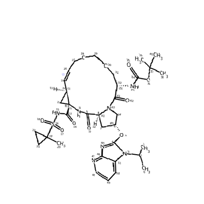 CC(C)n1c(O[C@@H]2C[C@H]3C(=O)N[C@]4(C(=O)NS(=O)(=O)C5(C)CC5)C[C@H]4/C=C\CCCCC[C@H](NC(=O)OC(C)(C)C)C(=O)N3C2)nc2ncccc21